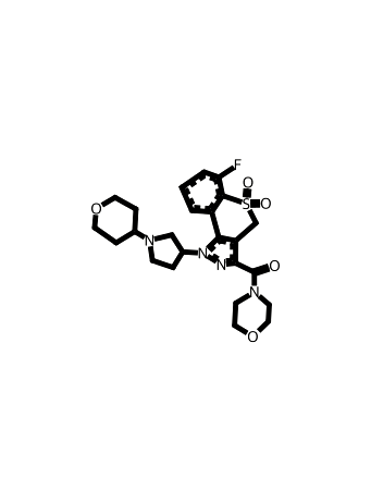 O=C(c1nn(C2CCN(C3CCOCC3)C2)c2c1CS(=O)(=O)c1c(F)cccc1-2)N1CCOCC1